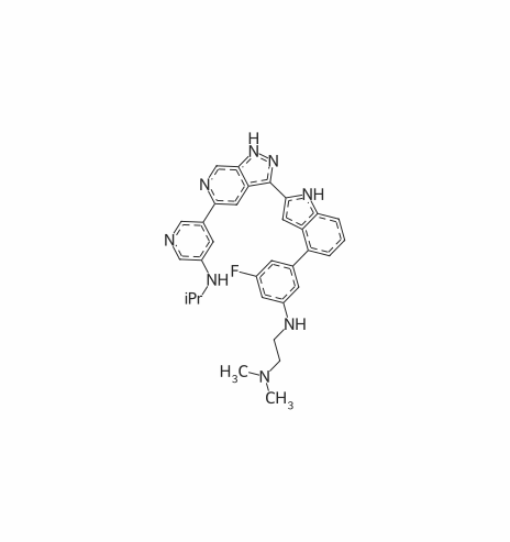 CC(C)Nc1cncc(-c2cc3c(-c4cc5c(-c6cc(F)cc(NCCN(C)C)c6)cccc5[nH]4)n[nH]c3cn2)c1